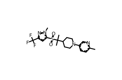 Cc1ccc(N2CCC(C(C)(C)S(=O)(=O)c3cc(C(F)(F)F)nn3C)CC2)cn1